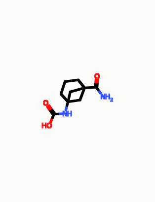 NC(=O)C12CCCC(NC(=O)O)(C1)C2